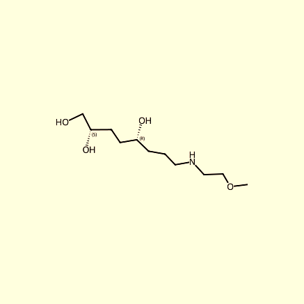 COCCNCCC[C@@H](O)CC[C@H](O)CO